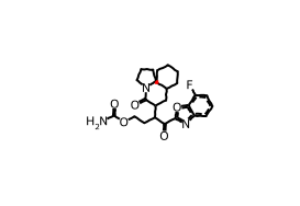 NC(=O)OCCC(C(=O)c1nc2cccc(F)c2o1)C(CC1CCCCC1)C(=O)N1CCCC1